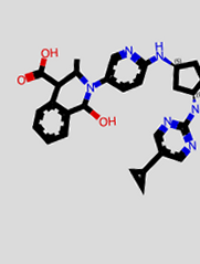 CC1C(C(=O)O)c2ccccc2C(O)N1c1ccc(N[C@H]2CC[C@H](Nc3ncc(C4CC4)cn3)C2)nc1